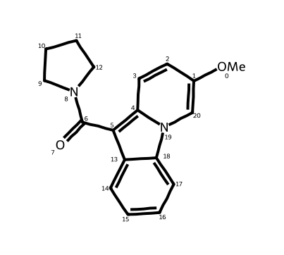 COc1ccc2c(C(=O)N3CCCC3)c3ccccc3n2c1